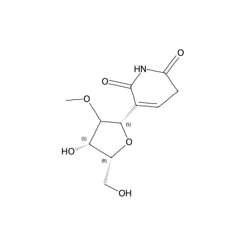 COC1[C@@H](O)[C@@H](CO)O[C@H]1C1=CCC(=O)NC1=O